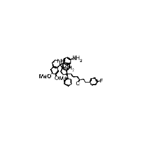 COc1cc2c(cc1OC)C(c1ccc(N)cc1)(C(N)CCC(CCCC(=O)CCc1ccc(F)cc1)(c1ccccc1)c1ccccc1)NCC2